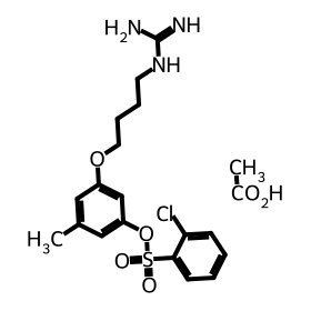 CC(=O)O.Cc1cc(OCCCCNC(=N)N)cc(OS(=O)(=O)c2ccccc2Cl)c1